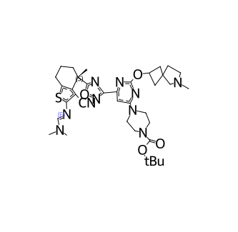 CN(C)/C=N/c1sc2c(c1C#N)[C@@](C)(c1nc(-c3cc(N4CCN(C(=O)OC(C)(C)C)CC4)nc(OC4CC5(CCN(C)C5)C4)n3)no1)CCC2